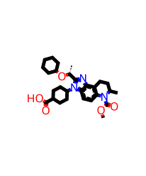 COC(=O)N1c2ccc3c(nc([C@@H](C)OC4CCCCC4)n3C3CCC(C(=O)O)CC3)c2CCC1C